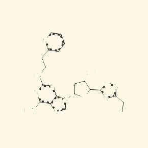 CCc1noc(C2O[C@@H](n3cnc4c(N)nc(NCCc5ccccn5)nc43)[C@H](O)[C@@H]2O)n1